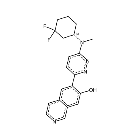 CN(c1ccc(-c2cc3ccncc3cc2O)nn1)[C@H]1CCCC(F)(F)C1